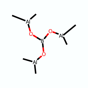 [CH3][Al]([CH3])[O]B([O][Al]([CH3])[CH3])[O][Al]([CH3])[CH3]